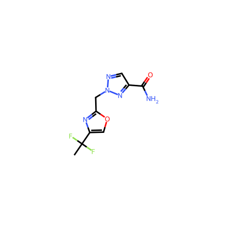 CC(F)(F)c1coc(Cn2ncc(C(N)=O)n2)n1